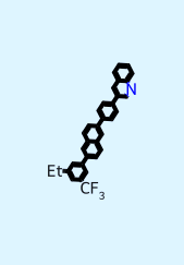 CCc1cc(-c2ccc3cc(-c4ccc(-c5cnc6ccccc6c5)cc4)ccc3c2)cc(C(F)(F)F)c1